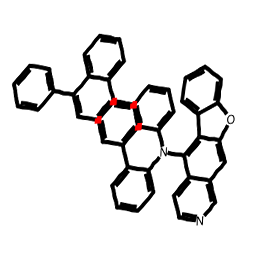 c1ccc(-c2ccccc2N(c2cccc(-c3ccc(-c4ccccc4)c4ccccc34)c2)c2c3ccncc3cc3oc4ccccc4c23)cc1